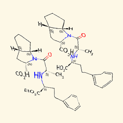 CCOC(=O)[C@H](CCc1ccccc1)N[C@@H](C)C(=O)N1[C@H](C(=O)O)C[C@@H]2CCC[C@@H]21.C[C@H](N[C@@H](CCc1ccccc1)C(=O)O)C(=O)N1[C@H](C(=O)O)C[C@@H]2CCC[C@@H]21